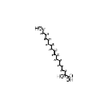 O=C(O)C(O)CCCCCCCCCCCCCCCCCO